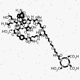 CCCC[C@H](NC(=O)CCC(=O)NCCCOCCOCCOCCCNC(=O)CN1CCN(CC(=O)O)CCN(CC(=O)O)CCN(CC(=O)O)CC1)C(=O)N[C@@H](CSC1=C(SC[C@H](NC(=O)[C@H](Cc2ccccc2)NC(=O)[C@H](CCC(N)=O)NC(=O)C[C@@H](C)O)C(=O)N[C@@H](CC(=O)O)C(=O)NCc2ccc(C(=O)N[C@@H](CCCNC(=N)N)C(N)=O)cc2)C(=O)NC1O)C(=O)N1CCC[C@H]1C(=O)N1CCC[C@H]1C(N)=O